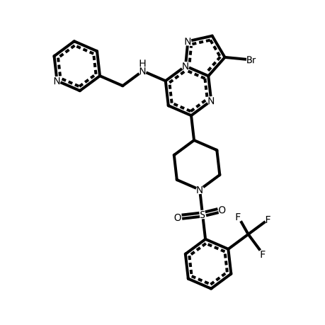 O=S(=O)(c1ccccc1C(F)(F)F)N1CCC(c2cc(NCc3cccnc3)n3ncc(Br)c3n2)CC1